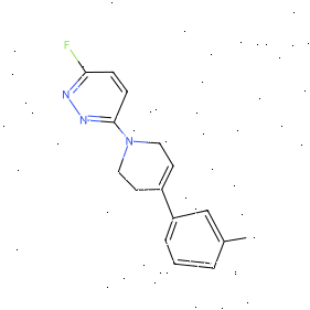 Cc1cccc(C2=CCN(c3ccc(F)nn3)CC2)c1